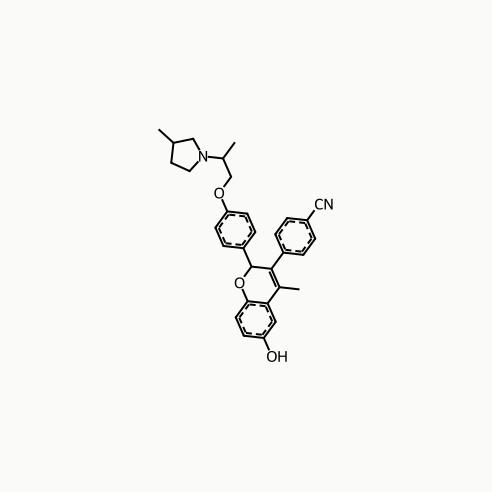 CC1=C(c2ccc(C#N)cc2)C(c2ccc(OCC(C)N3CCC(C)C3)cc2)Oc2ccc(O)cc21